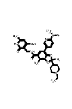 CCN(C)c1ccc(-c2cc(C(=O)NCc3c(SC)cc(C)[nH]c3=O)c(C)c3c2OC(C)(C2CCN(CC(F)(F)F)CC2)O3)cn1